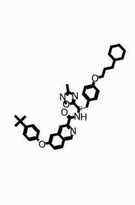 Cc1noc([C@H](Cc2ccc(OCCCC3CCCCC3)cc2)NC(=O)c2cc3cc(Oc4ccc(C(C)(C)C)cc4)ccc3cn2)n1